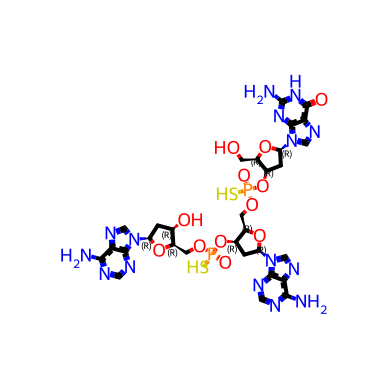 Nc1nc2c(ncn2[C@H]2C[C@@H](OP(=O)(S)OC[C@H]3O[C@@H](n4cnc5c(N)ncnc54)C[C@H]3OP(=O)(S)OC[C@H]3O[C@@H](n4cnc5c(N)ncnc54)C[C@H]3O)[C@@H](CO)O2)c(=O)[nH]1